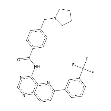 O=C(Nc1ncnc2ccc(-c3cccc(C(F)(F)F)c3)nc12)c1ccc(CN2CCCC2)cc1